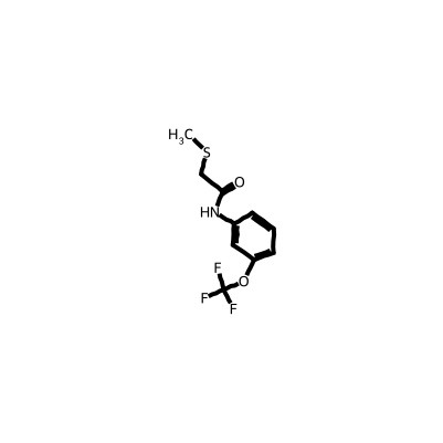 CSCC(=O)Nc1cccc(OC(F)(F)F)c1